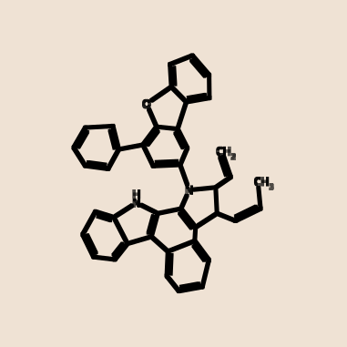 C=CC1C(/C=C\C)c2c(c3[nH]c4ccccc4c3c3ccccc23)N1c1cc(-c2ccccc2)c2oc3ccccc3c2c1